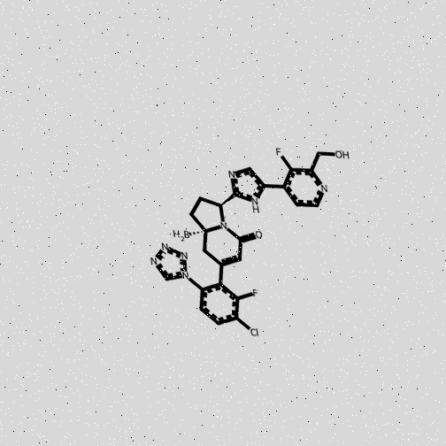 B[C@]12CC[C@@H](c3ncc(-c4ccnc(CO)c4F)[nH]3)N1C(=O)C=C(c1c(-n3cnnn3)ccc(Cl)c1F)C2